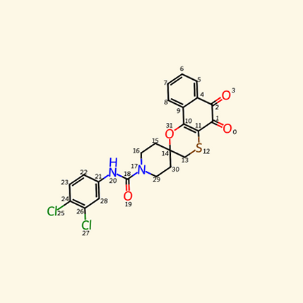 O=C1C(=O)c2ccccc2C2=C1SCC1(CCN(C(=O)Nc3ccc(Cl)c(Cl)c3)CC1)O2